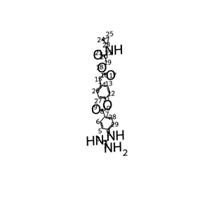 N=C(N)Nc1ccc(C(=O)Oc2ccc(CC(=O)OCC(=O)NC3CC3)cc2)cc1